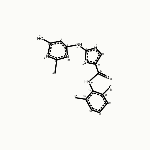 Cc1nc(O)cc(Nc2ncc(C(=O)Nc3c(C)cccc3Cl)s2)n1